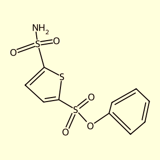 NS(=O)(=O)c1ccc(S(=O)(=O)Oc2ccccc2)s1